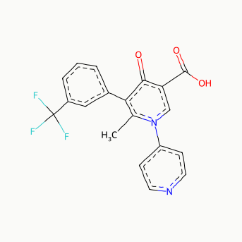 Cc1c(-c2cccc(C(F)(F)F)c2)c(=O)c(C(=O)O)cn1-c1ccncc1